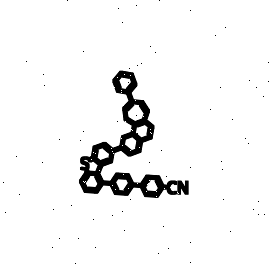 N#Cc1ccc(-c2ccc(-c3cccc4sc5ccc(C6=CC=C7C=CC8=C(CC=C(c9ccccc9)C=C8)C7C6)cc5c34)cc2)cc1